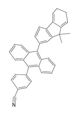 CC1(C)C2=CCCC=C2c2ccc(-c3c4ccccc4c(-c4ccc(C#N)cc4)c4ccccc34)cc21